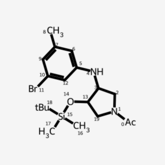 CC(=O)N1CC(Nc2cc(C)cc(Br)c2)C(O[Si](C)(C)C(C)(C)C)C1